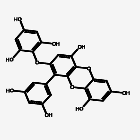 Oc1cc(O)cc(-c2c(Oc3c(O)cc(O)cc3O)cc(O)c3c2Oc2c(O)cc(O)cc2O3)c1